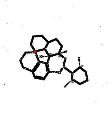 C[C@@H]1CCC[C@H](C)N1P1Oc2ccc3c(c2[C@H]2C4CCCCC4CC[C@H]2O1)CCCC3